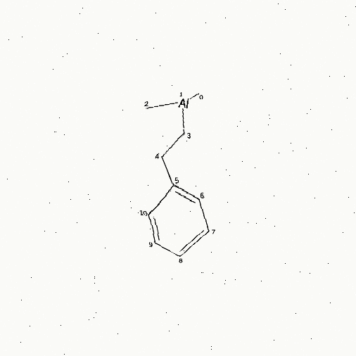 [CH3][Al]([CH3])[CH2]Cc1ccccc1